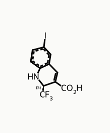 O=C(O)C1=Cc2cc(I)ccc2N[C@@H]1C(F)(F)F